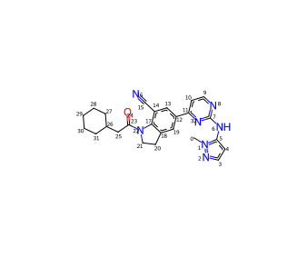 Cn1nccc1Nc1nccc(-c2cc(C#N)c3c(c2)CCN3C(=O)CC2CCCCC2)n1